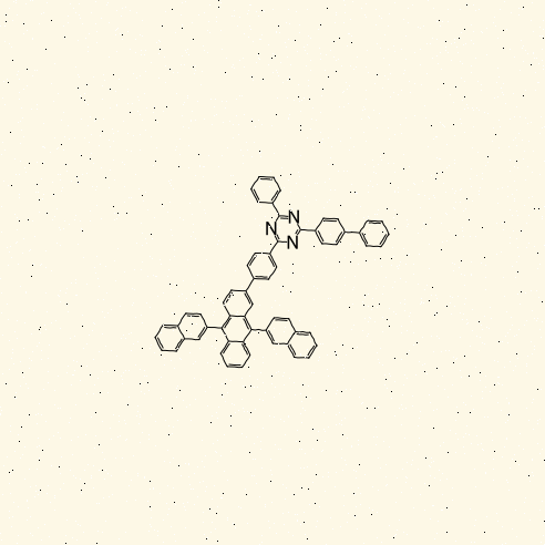 c1ccc(-c2ccc(-c3nc(-c4ccccc4)nc(-c4ccc(-c5ccc6c(-c7ccc8ccccc8c7)c7ccccc7c(-c7ccc8ccccc8c7)c6c5)cc4)n3)cc2)cc1